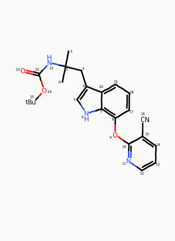 CC(C)(Cc1c[nH]c2c(Oc3ncccc3C#N)cccc12)NC(=O)OC(C)(C)C